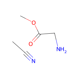 CC#N.COC(=O)CN